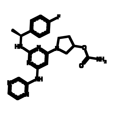 C[C@H](Nc1nc(Nc2cnccn2)cc(N2CCC(OC(N)=O)C2)n1)c1ccc(F)cc1